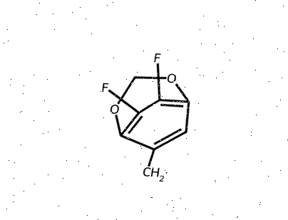 [CH2]c1cc2c(F)c(F)c1OCO2